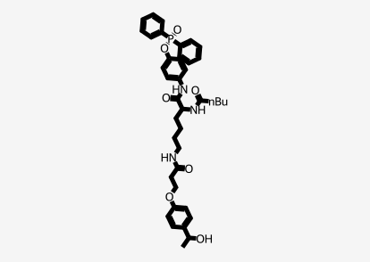 CCCCC(=O)NC(CCCCNC(=O)CCOc1ccc(C(C)O)cc1)C(=O)Nc1ccc(OP(=O)(c2ccccc2)c2ccccc2)cc1